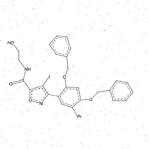 CC(C)c1cc(-c2noc(C(=O)NCCO)c2I)c(OCc2ccccc2)cc1OCc1ccccc1